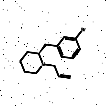 C=CCN1CCCC[C@H]1Cc1cccc(Br)c1